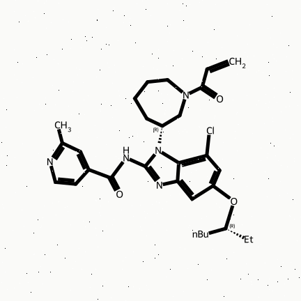 C=CC(=O)N1CCCC[C@@H](n2c(NC(=O)c3ccnc(C)c3)nc3cc(O[C@H](CC)CCCC)cc(Cl)c32)C1